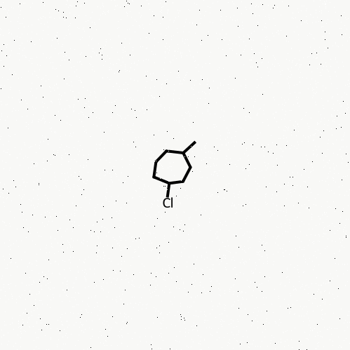 CC1CCCC(Cl)CC1